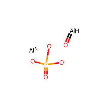 O=P([O-])([O-])[O-].[Al+3].[O]=[AlH]